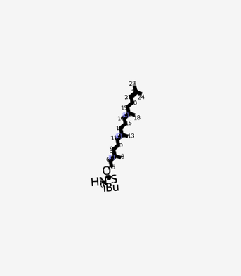 CCC(C)NC(=S)OC/C=C(\C)CC/C=C(\C)CC/C=C(\C)CCC=C(C)C